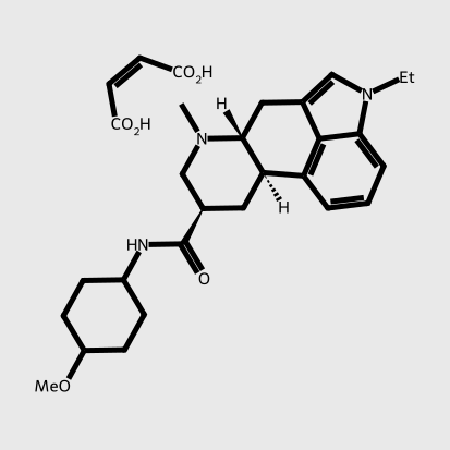 CCn1cc2c3c(cccc31)[C@H]1C[C@@H](C(=O)NC3CCC(OC)CC3)CN(C)[C@@H]1C2.O=C(O)/C=C\C(=O)O